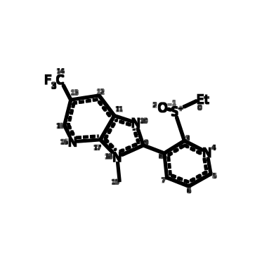 CC[S+]([O-])c1ncccc1-c1nc2cc(C(F)(F)F)cnc2n1C